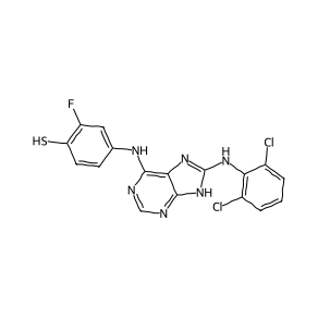 Fc1cc(Nc2ncnc3[nH]c(Nc4c(Cl)cccc4Cl)nc23)ccc1S